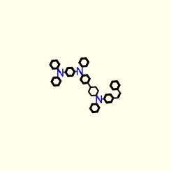 C(=C/c1ccc(N(c2ccccc2)C2CCC(c3ccc(N(c4ccccc4)c4ccc(N(c5ccccc5)c5ccccc5)cc4)cc3)CC2)cc1)/c1ccccc1